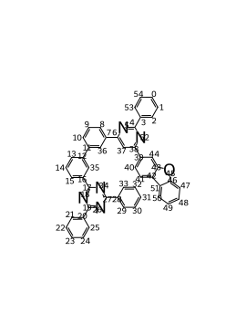 c1ccc(-c2nc(-c3cccc(-c4cccc(-c5nc(-c6ccccc6)nc(-c6ccccc6)n5)c4)c3)cc(-c3ccc4c(c3)oc3ccccc34)n2)cc1